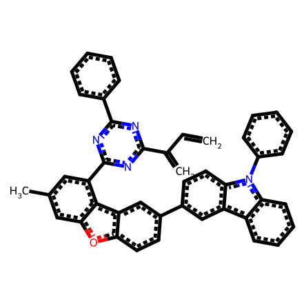 C=CC(=C)c1nc(-c2ccccc2)nc(-c2cc(C)cc3oc4ccc(-c5ccc6c(c5)c5ccccc5n6-c5ccccc5)cc4c23)n1